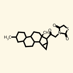 CC1CCC2C(CCC3C2CCC2(C)C(C(=O)CN4C(=O)CSC4=O)C4CC4C32)C1